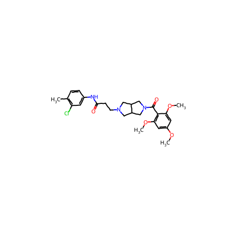 COc1cc(OC)c(C(=O)N2CC3CN(CCC(=O)Nc4ccc(C)c(Cl)c4)CC3C2)c(OC)c1